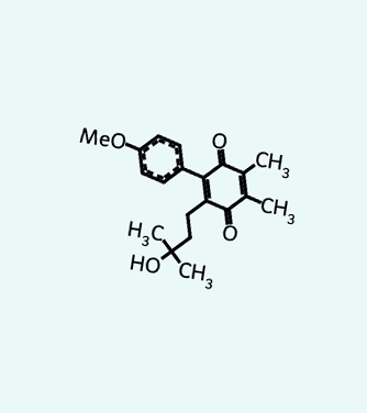 COc1ccc(C2=C(CCC(C)(C)O)C(=O)C(C)=C(C)C2=O)cc1